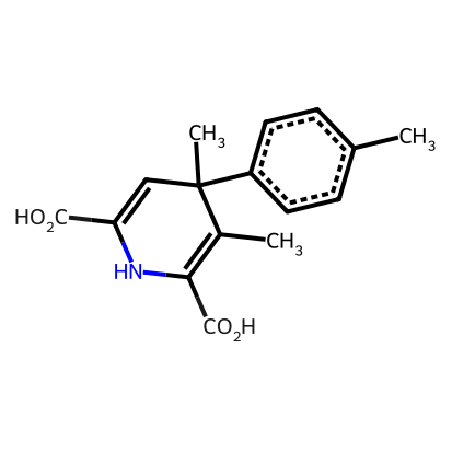 CC1=C(C(=O)O)NC(C(=O)O)=CC1(C)c1ccc(C)cc1